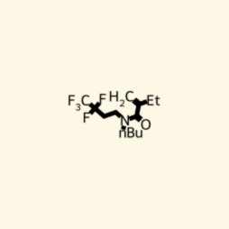 C=C(CC)C(=O)N(CCCC)CCC(F)(F)C(F)(F)F